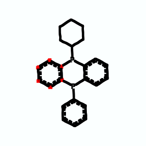 c1ccc(P(c2ccccc2)c2ccccc2P(C2CCCCC2)C2CCCCC2)cc1